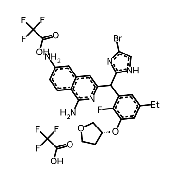 CCc1cc(O[C@@H]2CCOC2)c(F)c(C(c2cc3cc(N)ccc3c(N)n2)c2nc(Br)c[nH]2)c1.O=C(O)C(F)(F)F.O=C(O)C(F)(F)F